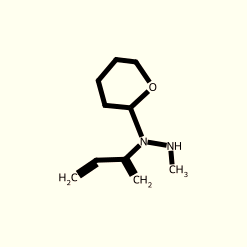 C=CC(=C)N(NC)C1CCCCO1